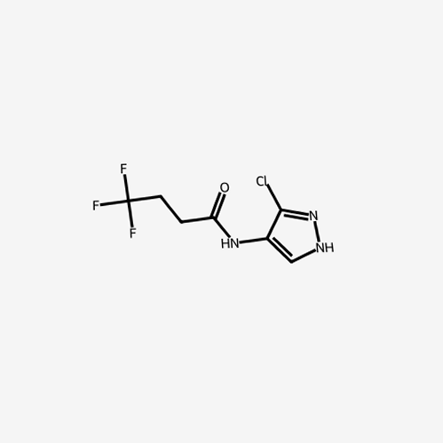 O=C(CCC(F)(F)F)Nc1c[nH]nc1Cl